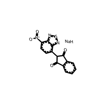 O=C1c2ccccc2C(=O)C1c1ccc([N+](=O)[O-])c2nsnc12.[NaH]